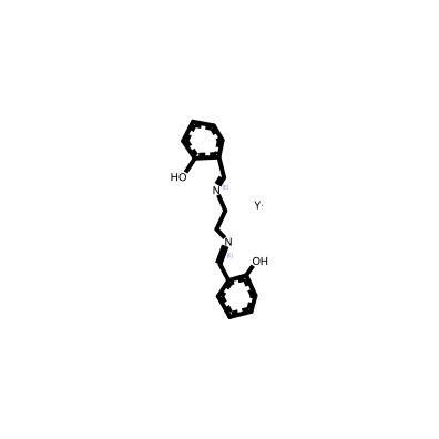 Oc1ccccc1/C=N/CC/N=C/c1ccccc1O.[Y]